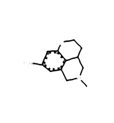 CN1Cc2cc(N)cc3c2C(CCS3)C1